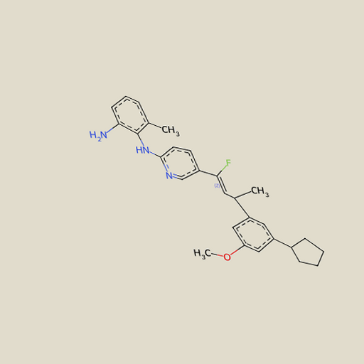 COc1cc(C(C)/C=C(\F)c2ccc(Nc3c(C)cccc3N)nc2)cc(C2CCCC2)c1